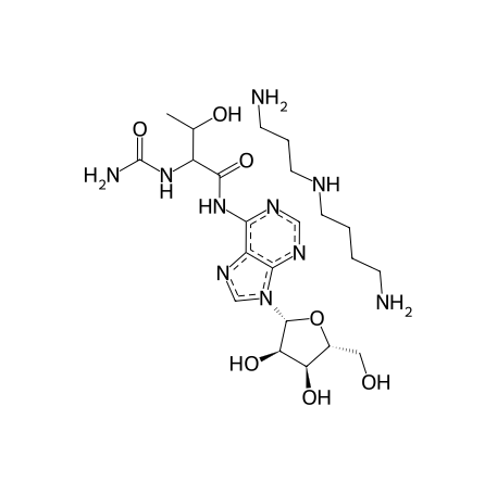 CC(O)C(NC(N)=O)C(=O)Nc1ncnc2c1ncn2[C@@H]1O[C@H](CO)[C@@H](O)[C@H]1O.NCCCCNCCCN